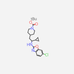 CC(C)(C)OC(=O)N1CCC(CC(Nc2nc3ccc(Cl)cc3o2)C2CC2)CC1